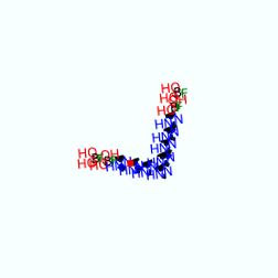 OB(O)F.OB(O)F.OB(O)F.OB(O)F.c1c[nH]cn1.c1c[nH]cn1.c1c[nH]cn1.c1c[nH]cn1.c1c[nH]cn1.c1c[nH]cn1.c1c[nH]cn1.c1c[nH]cn1